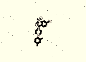 Cc1ccc(N2CCN(C(=O)c3ccc(Br)cc3S(C)(=O)=O)C[C@H]2C)c(C)c1